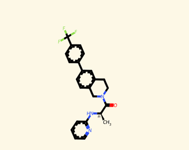 C[C@@H](Nc1ccccn1)C(=O)N1CCc2cc(-c3ccc(C(F)(F)F)cc3)ccc2C1